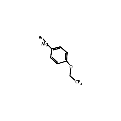 FC(F)(F)COc1cc[c]([Mg][Br])cc1